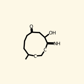 CC1CCCC(=N)C(O)CC(=O)CCC1